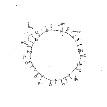 C/C=C/C[C@@H](C)[C@@H](O)[C@H]1C(=O)N[C@@H](CC)C(=O)N(C)CC(=O)N(C)[C@@H](CC(C)C)C(=O)NC(C(C)C)C(=O)N(C)[C@@H](CC(C)C)C(=O)N[C@@H](C)C(=O)N[C@H](C)C(=O)N(C)[C@@H](CC(C)C)C(=O)N(C)[C@@H](CC(C)C)C(=O)N(C)[C@@H](C)C(=O)N1C